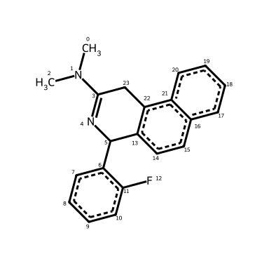 CN(C)C1=NC(c2ccccc2F)c2ccc3ccccc3c2C1